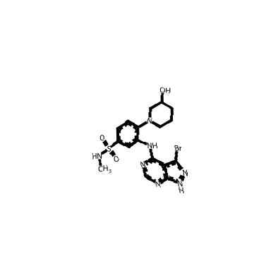 CNS(=O)(=O)c1ccc(N2CCCC(O)C2)c(Nc2ncnc3[nH]nc(Br)c23)c1